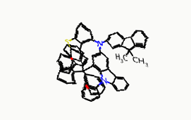 CC1(C)c2ccccc2-c2ccc(N(c3cc(C4(c5ccccc5)c5ccccc5-c5ccccc54)c4c(c3)c3ccccc3n4-c3ccccc3)c3cccc4sc5c6ccccc6ccc5c34)cc21